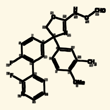 COc1ccc(C2(c3ccc(F)c(-c4cccnc4F)c3)COC(NOC=O)=N2)cc1C